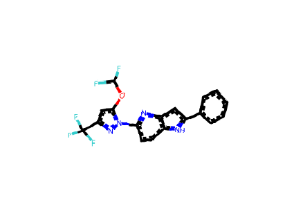 FC(F)Oc1cc(C(F)(F)F)nn1-c1ccc2[nH]c(-c3ccccc3)cc2n1